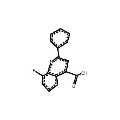 O=C(O)c1cc(-c2ccccc2)nc2c(F)cccc12